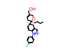 CCCC[C@]1([C@]2(C)C=Cc3c(cnn3-c3ccc(F)cc3)C2)CC=C(CO)CO1